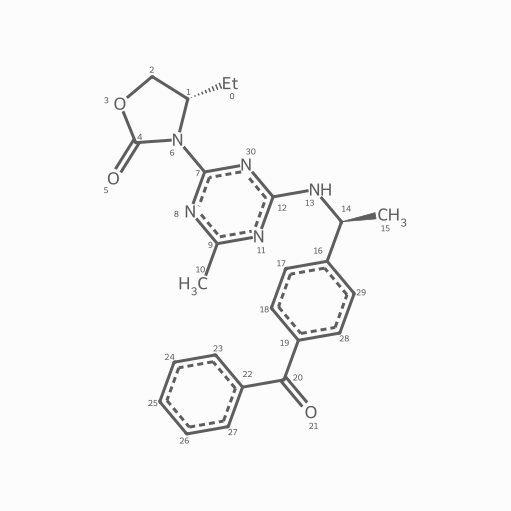 CC[C@H]1COC(=O)N1c1nc(C)nc(N[C@@H](C)c2ccc(C(=O)c3ccccc3)cc2)n1